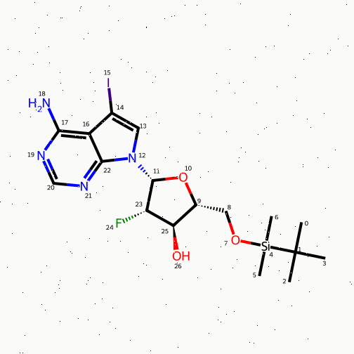 CC(C)(C)[Si](C)(C)OC[C@H]1O[C@@H](n2cc(I)c3c(N)ncnc32)[C@@H](F)[C@@H]1O